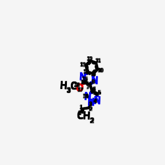 C=CCn1ncc(-c2nc3ccccc3nc2OC)n1